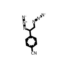 N#Cc1ccc(C(CN=[N+]=[N-])N=[N+]=[N-])cc1